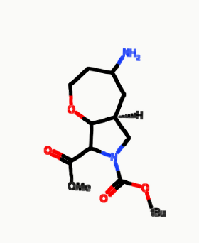 COC(=O)C1C2OCCC(N)C[C@H]2CN1C(=O)OC(C)(C)C